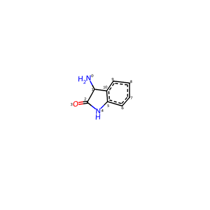 NC1C(=O)Nc2ccccc21